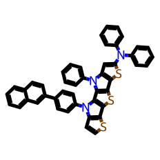 c1ccc(N(c2ccccc2)c2cc3c(s2)c2sc4c5sccc5n(-c5ccc(-c6ccc7ccccc7c6)cc5)c4c2n3-c2ccccc2)cc1